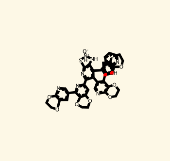 [O-][NH+]1Nc2c(nc(-c3cc4c(c(-c5cnc6c(c5)OCCO6)n3)OCCO4)c(-c3[c]nc4c(c3-c3cc5cccnc5[nH]3)OCCO4)c2-c2ccc3c(c2)OCCO3)S1